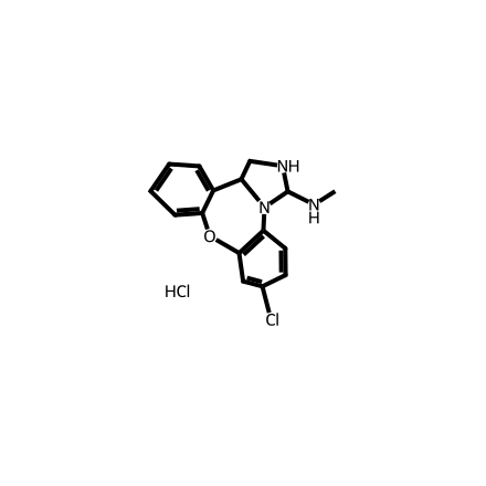 CNC1NCC2c3ccccc3Oc3cc(Cl)ccc3N12.Cl